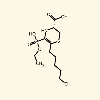 CCCCCCC1=C(P(=O)(O)OCC)N[C@H](C(=O)O)CS1